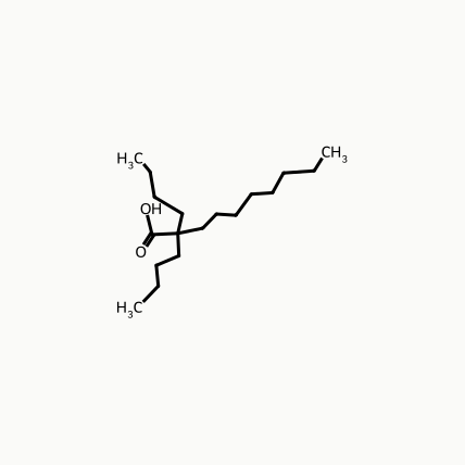 CCCCCCCCC(CCCC)(CCCC)C(=O)O